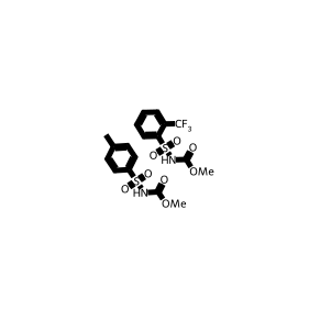 COC(=O)NS(=O)(=O)c1ccc(C)cc1.COC(=O)NS(=O)(=O)c1ccccc1C(F)(F)F